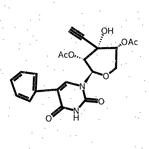 C#C[C@@]1(O)[C@H](OC(C)=O)CO[C@@H](n2cc(-c3ccccc3)c(=O)[nH]c2=O)[C@@H]1OC(C)=O